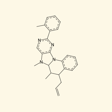 C=CCC1c2ccccc2N2c3nc(-c4ccccc4C)ncc3N(C)C2C1C